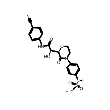 CS(=O)(=O)Nc1ccc(N2CCO[C@H]([C@@H](O)C(=O)Nc3ccc(C#N)cc3)C2=O)cc1